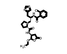 CCO[C@@H]1OC(=O)C[C@@H]1NC(=O)[C@@H]1CCCN1C[C@H](Cc1cscn1)NC(=O)c1ccccc1Cl